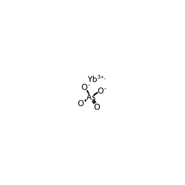 O=[As]([O-])([O-])[O-].[Yb+3]